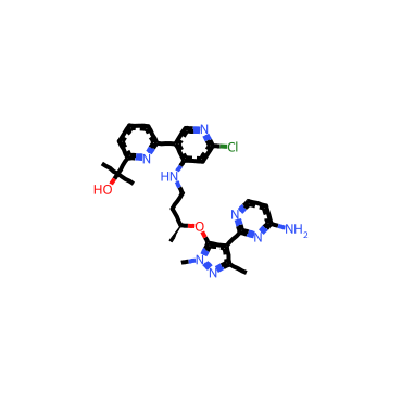 Cc1nn(C)c(O[C@@H](C)CCNc2cc(Cl)ncc2-c2cccc(C(C)(C)O)n2)c1-c1nccc(N)n1